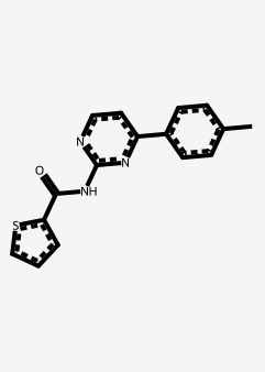 Cc1ccc(-c2ccnc(NC(=O)c3cccs3)n2)cc1